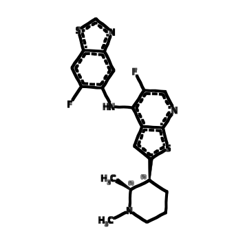 C[C@H]1[C@@H](c2cc3c(Nc4cc5ncsc5cc4F)c(F)cnc3s2)CCCN1C